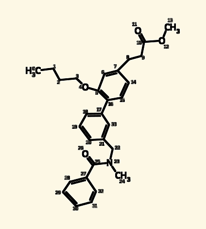 CCCCOc1cc(CCC(=O)OC)ccc1-c1cccc(CN(C)C(=O)c2ccccc2)c1